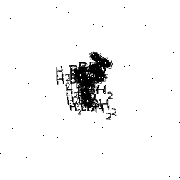 Bc1c(B)c(B)c(-c2nc(-c3c(B)c(B)c4c(oc5c(B)c(B)c(B)c(B)c54)c3B)nc(-c3cccc4oc5c(-n6c7ccccc7c7ccccc76)cccc5c34)n2)c(B)c1B